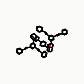 C(#Cc1cc(C#Cc2ccccc2)cc(C23CC4CC(CC(c5ccc(C67CC8CC(C6)CC(c6cc(C#Cc9ccccc9)cc(C#Cc9ccccc9)c6)(C8)C7)cc5)(C4)C2)C3)c1)c1ccccc1